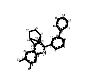 Cc1cc2nc(-c3cccc(-c4ccccc4)c3)c3c(c2cc1C)C1CCC3C1